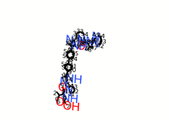 CC(C)[C@H](NC(=O)O)C(=O)N1CCC[C@H]1c1ncc(-c2ccc(-c3ccc(-c4cnc([C@@H]5CCCN5C(=O)[C@@H](Nc5ncccn5)C(C)C)[nH]4)cc3)cc2)[nH]1